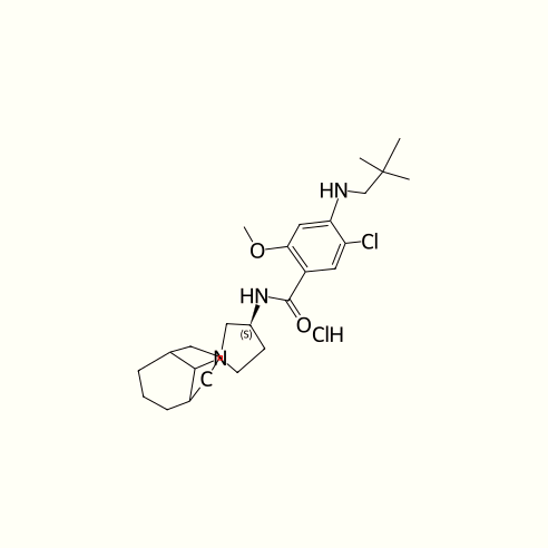 COc1cc(NCC(C)(C)C)c(Cl)cc1C(=O)N[C@H]1CCN(C2C3CCCC2CCC3)C1.Cl